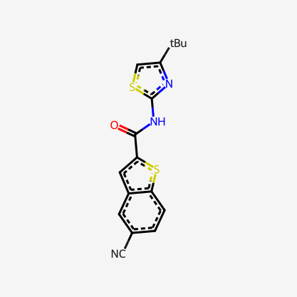 CC(C)(C)c1csc(NC(=O)c2cc3cc(C#N)ccc3s2)n1